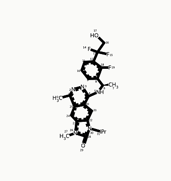 Cc1nnc(N[C@H](C)c2cccc(C(F)(F)CO)c2F)c2cc3c(cc12)n(C)c(=O)n3C(C)C